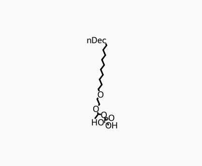 CCCCCCCCCCCCCCCCCCCCOCCOC(C)OP(=O)(O)O